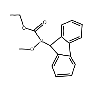 CCOC(=O)N(OC)C1c2ccccc2-c2ccccc21